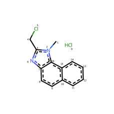 Cl.Cn1c(CCl)nc2ccc3ccccc3c21